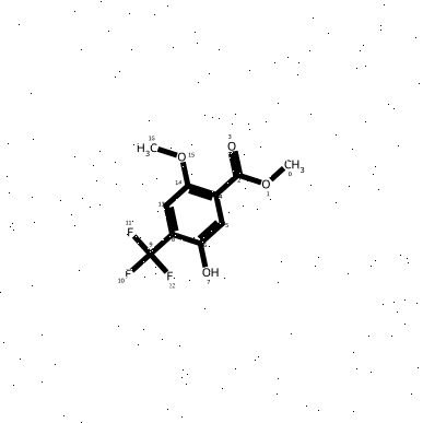 COC(=O)c1cc(O)c(C(F)(F)F)cc1OC